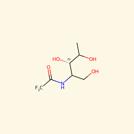 CC(O)[C@@H](O)C(CO)NC(=O)C(F)(F)F